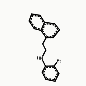 CCc1ccccc1NCCc1cccc2ccccc12